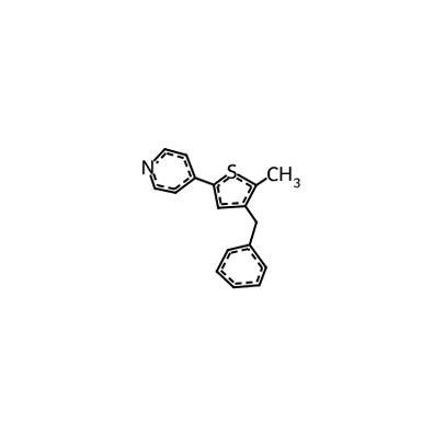 Cc1sc(-c2ccncc2)cc1Cc1ccccc1